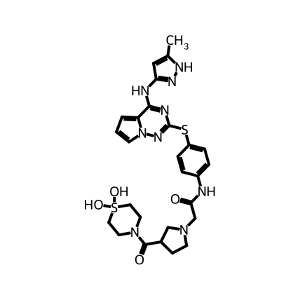 Cc1cc(Nc2nc(Sc3ccc(NC(=O)CN4CCC(C(=O)N5CCS(O)(O)CC5)C4)cc3)nn3cccc23)n[nH]1